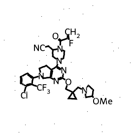 C=C(F)C(=O)N1CCN(c2nc(OCC3(CN4CCC(OC)C4)CC3)nc3c2CCN(c2cccc(Cl)c2C(F)(F)F)C3)CC1CC#N